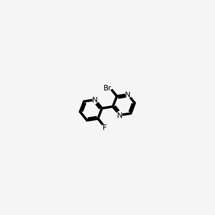 Fc1cccnc1-c1nccnc1Br